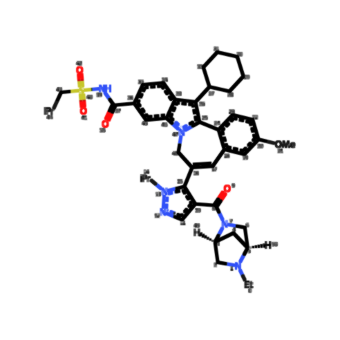 CCN1C[C@@H]2C[C@H]1CN2C(=O)c1cnn(C(C)C)c1C1=Cc2cc(OC)ccc2-c2c(C3CCCCC3)c3ccc(C(=O)NS(=O)(=O)CC(C)C)cc3n2C1